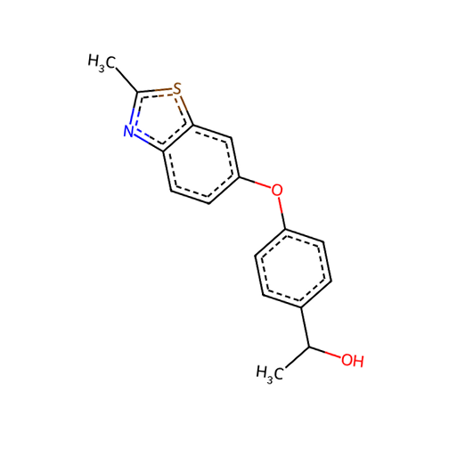 Cc1nc2ccc(Oc3ccc(C(C)O)cc3)cc2s1